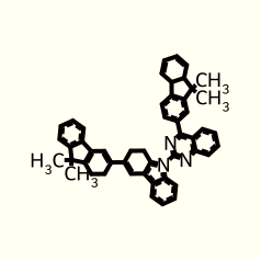 CC1(C)C2=C(C=C(C3=Cc4c(n(-c5nc(-c6ccc7c(c6)C(C)(C)C6C=CC=CC76)c6ccccc6n5)c5ccccc45)CC3)CC2)c2ccccc21